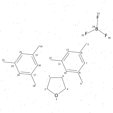 C1CCOC1.Cc1cc(C)cc(C)c1.Cc1cc(C)cc(C)c1.FB(F)F